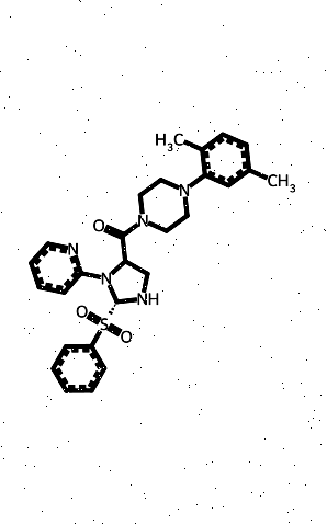 Cc1ccc(C)c(N2CCN(C(=O)C3CN[C@H](S(=O)(=O)c4ccccc4)N3c3ccccn3)CC2)c1